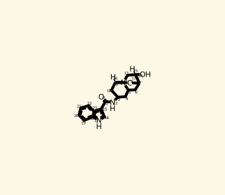 O=C(NC1CC2CC3C[C@@H](C1)N2C[C@H]3O)c1c[nH]c2ccccc12